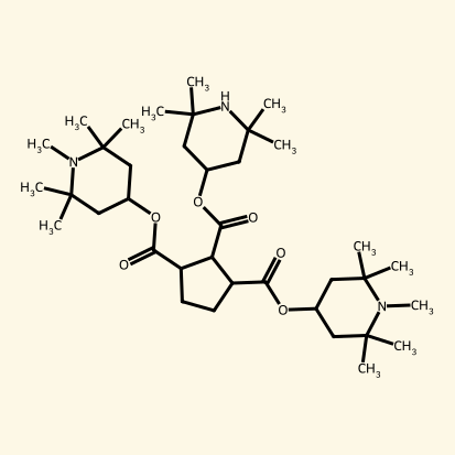 CN1C(C)(C)CC(OC(=O)C2CCC(C(=O)OC3CC(C)(C)N(C)C(C)(C)C3)C2C(=O)OC2CC(C)(C)NC(C)(C)C2)CC1(C)C